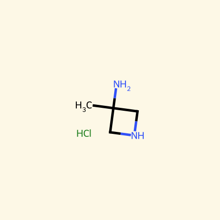 CC1(N)CNC1.Cl